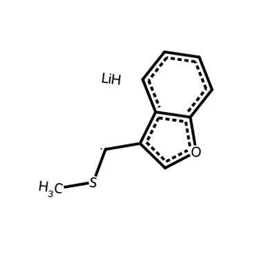 CS[CH]c1coc2ccccc12.[LiH]